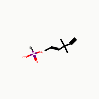 C#CC(C)(C)C=CC.CCP(=O)(O)O